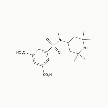 CN(C1CC(C)(C)NC(C)(C)C1)S(=O)(=O)c1cc(C(=O)O)cc(C(=O)O)c1